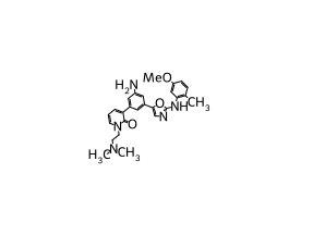 COc1ccc(C)c(Nc2ncc(-c3cc(N)cc(-c4cccn(CCN(C)C)c4=O)c3)o2)c1